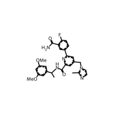 COc1cc(OC)cc(C(C)NC(=O)c2cc(Cn3ccnc3C)cc(-c3ccc(F)c(C(N)=O)c3)n2)c1